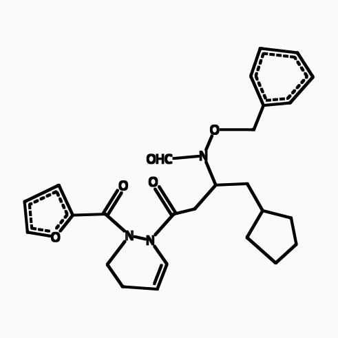 O=CN(OCc1ccccc1)C(CC(=O)N1C=CCCN1C(=O)c1ccco1)CC1CCCC1